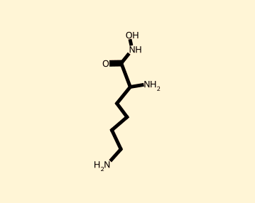 NCCCCC(N)C(=O)NO